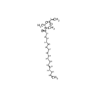 C=CC(=O)OC(C)N(C)C(=O)CCCCCCCCCCCCCCCCC